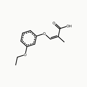 CCOc1cccc(OC=C(C)C(=O)O)c1